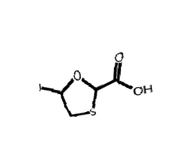 O=C(O)C1OC(I)CS1